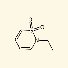 CCN1C=CC=CS1(=O)=O